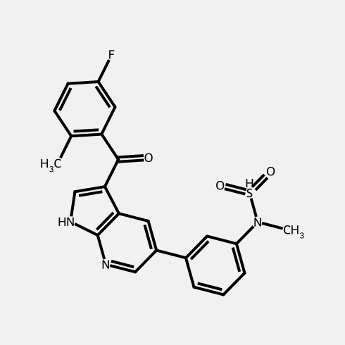 Cc1ccc(F)cc1C(=O)c1c[nH]c2ncc(-c3cccc(N(C)[SH](=O)=O)c3)cc12